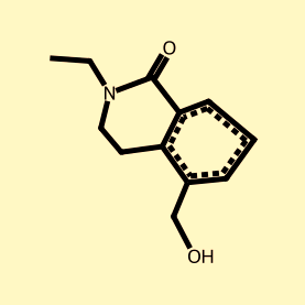 CCN1CCc2c(CO)cccc2C1=O